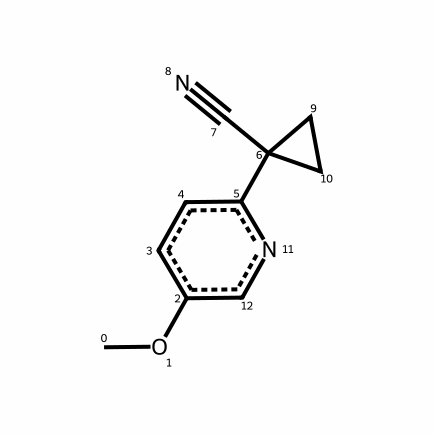 COc1ccc(C2(C#N)CC2)nc1